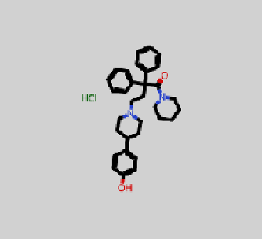 Cl.O=C(N1CCCCC1)C(CCN1CCC(c2ccc(O)cc2)CC1)(c1ccccc1)c1ccccc1